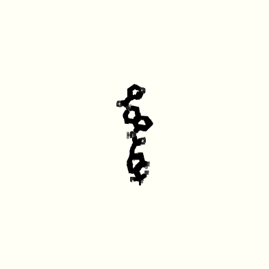 O=C(Cc1ccc(C(F)(F)F)c(F)c1)Nc1cccc2c1CCN(C(=O)C1CCOC1)C2